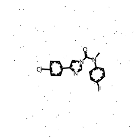 CN(C(=O)n1cnc(-c2ccc(Cl)cc2)c1)c1ccc(F)cc1